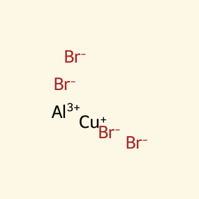 [Al+3].[Br-].[Br-].[Br-].[Br-].[Cu+]